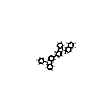 CC1(n2c3ccccc3c3cc(-c4ccc5c(c4)c4ccccc4n5-c4ccccc4)ccc32)C=c2ccccc2=CC1